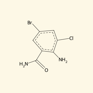 NC(=O)c1cc(Br)cc(Cl)c1N